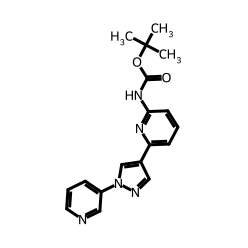 CC(C)(C)OC(=O)Nc1cccc(-c2cnn(-c3cccnc3)c2)n1